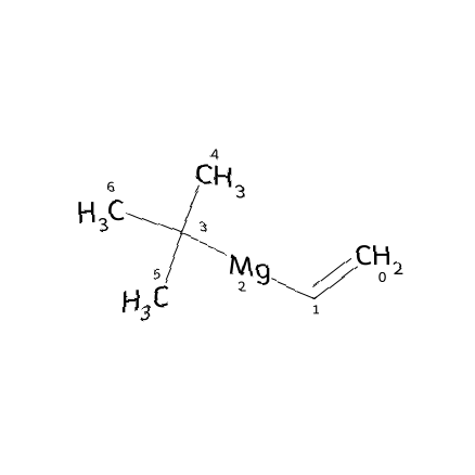 C=[CH][Mg][C](C)(C)C